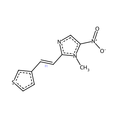 Cn1c([N+](=O)[O-])cnc1/C=C/c1ccsc1